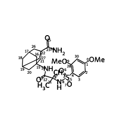 COc1ccc(S(=O)(=O)NC(C)(C)C(=O)NC23CC4CC(C2)CC(C(N)=O)(C4)C3)c(OC)c1